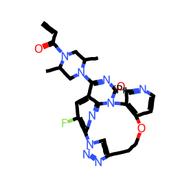 C=CC(=O)N1CC(C)N(c2nc(=O)n3c4nc(c(F)cc24)-n2cc(nn2)CCOc2ccnc(C(C)C)c2-3)CC1C